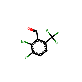 O=Cc1c(C(F)(F)F)ccc(F)c1Br